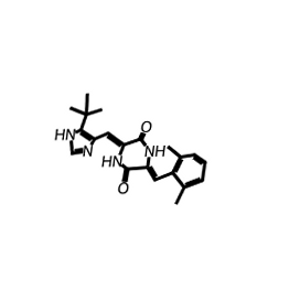 Cc1cccc(C)c1/C=c1\[nH]c(=O)/c(=C/c2nc[nH]c2C(C)(C)C)[nH]c1=O